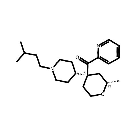 CC(C)CCN1CCC([C@@]2(C(=O)c3ccccn3)CCO[C@@H](C)C2)CC1